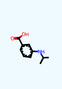 CC(C)Nc1cccc(C(=O)O)c1